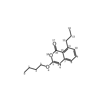 CCCCOc1nc2cccc(CCC)c2c(=O)o1